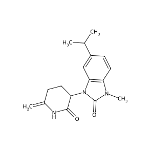 C=C1CCC(n2c(=O)n(C)c3ccc(C(C)C)cc32)C(=O)N1